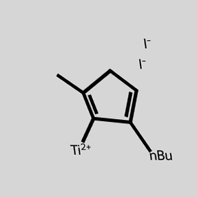 CCCCC1=CCC(C)=[C]1[Ti+2].[I-].[I-]